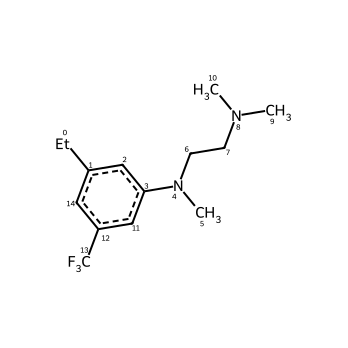 CCc1cc(N(C)CCN(C)C)cc(C(F)(F)F)c1